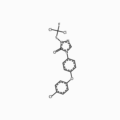 O=c1n(-c2ccc(Oc3ccc(Cl)cc3)cc2)cnn1SC(F)(Cl)Cl